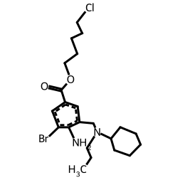 CCCN(Cc1cc(C(=O)OCCCCCCl)cc(Br)c1N)C1CCCCC1